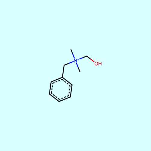 C[N+](C)(CO)Cc1ccccc1